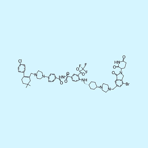 CC1(C)CCC(c2ccc(Cl)cc2)=C(CN2CCN(c3ccc(C(=O)NS(=O)(=O)c4ccc(NC[C@H]5CC[C@H](N6CCN(Cc7cc(Br)c8c(c7)C(=O)N(C7CCC(=O)NC7=O)C8)CC6)CC5)c(S(=O)(=O)C(F)(F)F)c4)cc3)CC2)C1